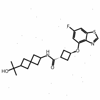 CC(C)(O)C1CC2(CC(NC(=O)[C@H]3C[C@H](Oc4cc(F)cc5scnc45)C3)C2)C1